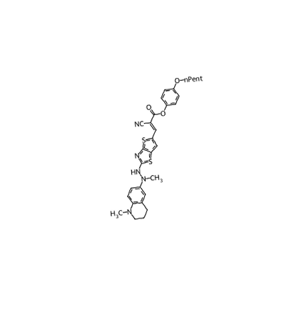 CCCCCOc1ccc(OC(=O)/C(C#N)=C/c2cc3sc(NN(C)c4ccc5c(c4)CCCN5C)nc3s2)cc1